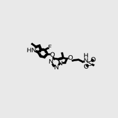 CC1=C2C(Oc3ccc4[nH]c(C)cc4c3F)=NC=NN2CC1OCCCNS(C)(=O)=O